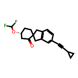 O=C1C[C@H](OC(F)F)CCC12Cc1ccc(C#CC3CC3)cc1C2